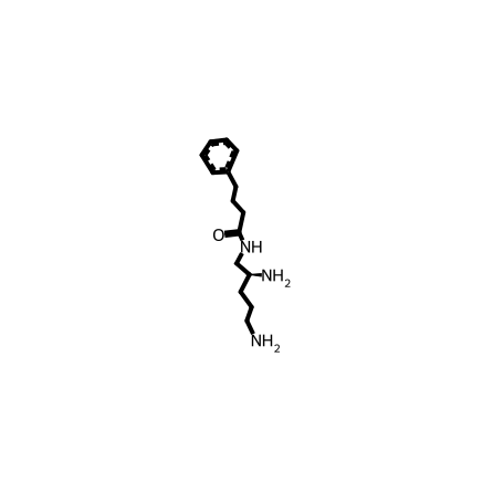 NCCC[C@H](N)CNC(=O)CCCc1ccccc1